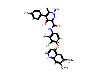 [2H]c1c(NC(=O)c2nn(C(C)C)c(C)c(-c3ccc(F)cc3)c2=O)ccc(Oc2ccnc3cc(OC)c(OC)cc23)c1F